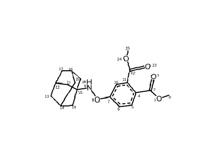 COC(=O)c1ccc(ONC23CC4CC(CC(C4)C2)C3)cc1C(=O)OC